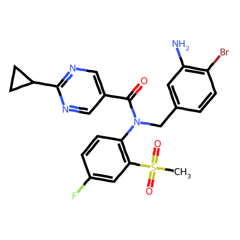 CS(=O)(=O)c1cc(F)ccc1N(Cc1ccc(Br)c(N)c1)C(=O)c1cnc(C2CC2)nc1